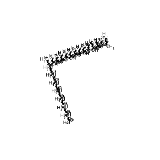 CCCC(=O)O.CCCC(=O)O.CCCC(=O)O.CCCC(=O)O.CCCC(=O)O.CCCC(=O)O.CCCC(=O)O.CCCC(=O)O.CCCC(=O)O.CCCC(=O)O.CCCC(=O)O.CCCC(=O)O.CCCC(=O)O.CCCC(=O)O.CCCC(=O)O.CCCC(=O)O.CCCC(=O)O.CCCC(=O)O.CCCC(=O)O.CCCC(=O)O.CCCCCC